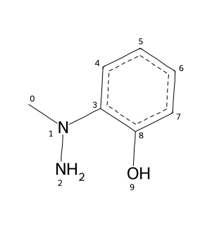 CN(N)c1ccccc1O